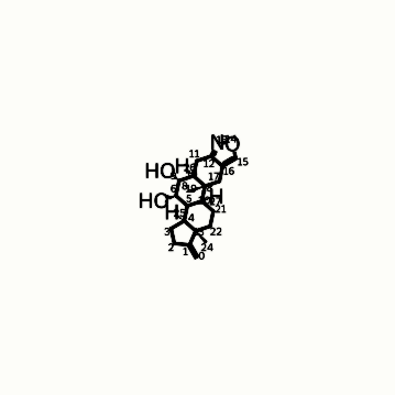 C=C1CC[C@H]2C3[C@@H](O)[C@H](O)[C@H]4Cc5nocc5C[C@]4(C)[C@H]3CC[C@]12C